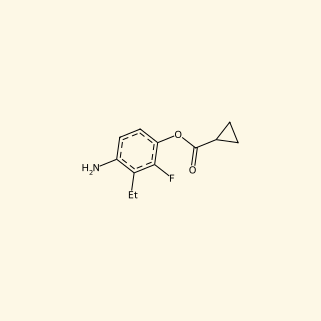 CCc1c(N)ccc(OC(=O)C2CC2)c1F